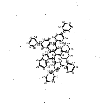 c1ccc(-c2ccc(N3c4ccc(-c5ccccc5)cc4B4c5sc6ccccc6c5N(c5cc(-c6ccccc6)cc(-c6ccccc6)c5)c5c6c7c(c3c54)CCCN7CCC6)cc2)cc1